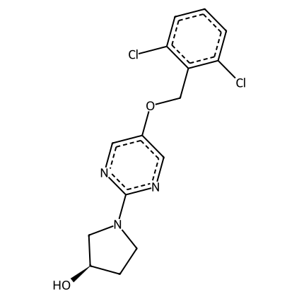 O[C@@H]1CCN(c2ncc(OCc3c(Cl)cccc3Cl)cn2)C1